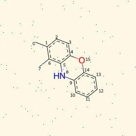 Cc1ccc2c(c1C)Nc1ccccc1O2